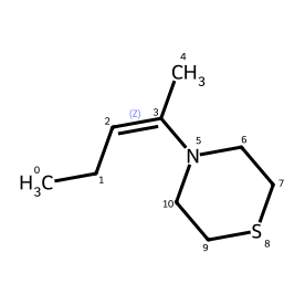 CC/C=C(/C)N1CCSCC1